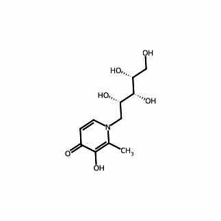 Cc1c(O)c(=O)ccn1C[C@H](O)[C@@H](O)[C@H](O)CO